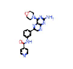 Nc1nc(N2CCOCC2)c2nc(-c3cccc(NC(=O)c4ccncc4)c3)cnc2n1